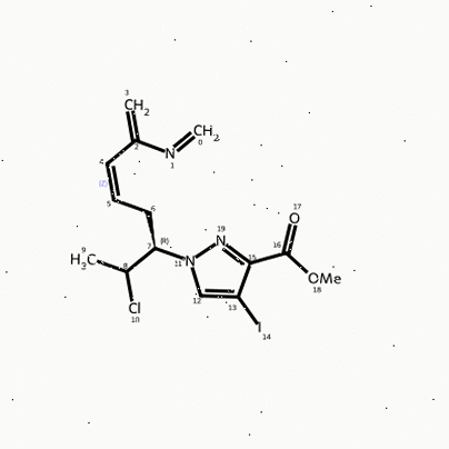 C=NC(=C)/C=C\C[C@H](C(C)Cl)n1cc(I)c(C(=O)OC)n1